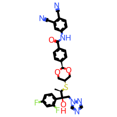 C[C@@H](S[C@H]1CO[C@H](c2ccc(C(=O)Nc3ccc(C#N)c(C#N)c3)cc2)OC1)[C@](O)(Cn1cncn1)c1ccc(F)cc1F